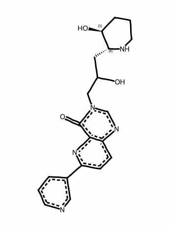 O=c1c2nc(-c3cccnc3)ccc2ncn1CC(O)C[C@H]1NCCC[C@@H]1O